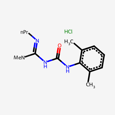 CCCN=C(NC)NC(=O)Nc1c(C)cccc1C.Cl